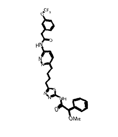 COC(C(=O)Nc1nnc(CCCCc2ccc(NC(=O)Cc3cccc(OC(F)(F)F)c3)nn2)s1)c1ccccc1